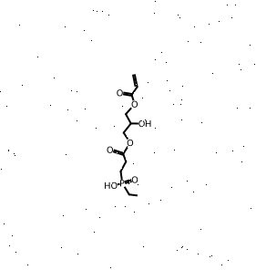 C=CC(=O)OCC(O)COC(=O)CCP(=O)(O)CC